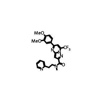 COc1ccc(-c2cc(C(F)(F)F)n3nc(C(=O)N(C)CCc4ccccn4)cc3n2)cc1OC